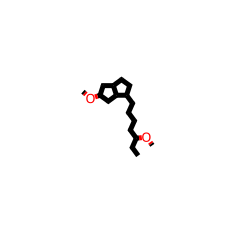 CCC(CCCCC1CCC2CC(OC)CC12)OC